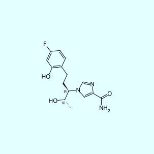 C[C@H](O)[C@@H](CCc1ccc(F)cc1O)n1cnc(C(N)=O)c1